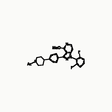 COc1nccc2c1c(-c1ccc(C3CCN(C(C)=O)CC3)cc1)nn2-c1c(F)cccc1F